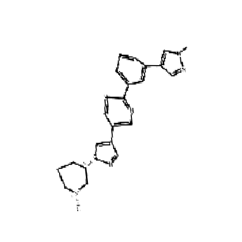 Cn1cc(-c2cccc(-c3ncc(-c4cnn([C@H]5CCC[S@@+]([O-])C5)c4)cn3)c2)cn1